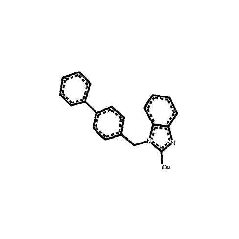 CCC(C)c1nc2ccccc2n1Cc1ccc(-c2ccccc2)cc1